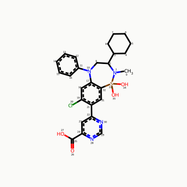 CN1C(C2CCCCC2)CN(c2ccccc2)c2cc(Cl)c(-c3cc(C(=O)O)ncn3)cc2S1(O)O